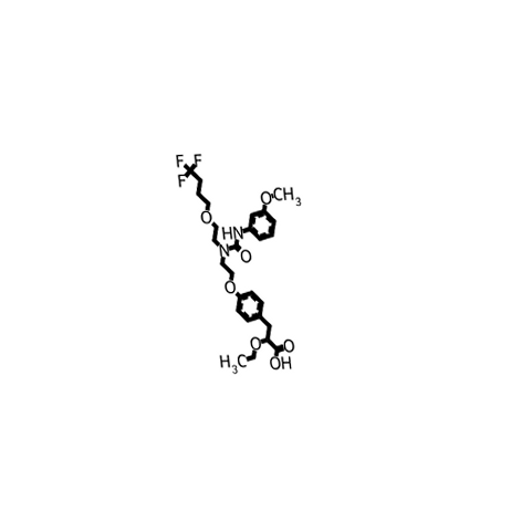 CCOC(Cc1ccc(OCCN(CCOCCCC(F)(F)F)C(=O)Nc2cccc(OC)c2)cc1)C(=O)O